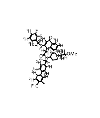 [2H]c1c([2H])c(F)c(F)c(C([2H])([2H])Sc2c([2H])c(=O)c3c([2H])c([2H])c([2H])c([2H])c3n2C([2H])([2H])C(=O)N(C2CCN(C([2H])([2H])C([2H])([2H])OC)CC2)C([2H])([2H])c2c([2H])c([2H])c(-c3c([2H])c([2H])c(C(F)(F)F)c(C)c3[2H])c([2H])c2[2H])c1[2H]